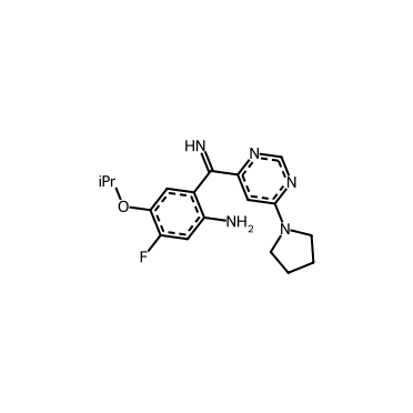 CC(C)Oc1cc(C(=N)c2cc(N3CCCC3)ncn2)c(N)cc1F